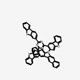 c1ccc2cc3c(cc2c1)c1cc2ccccc2cc1n3-c1cc2oc3ccccc3c2cc1-c1nc(-c2ccc3c(c2)sc2ccccc23)nc(-c2ccc3c(c2)sc2ccccc23)n1